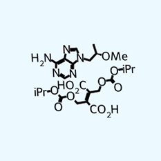 CC(C)OC(=O)OC/C(C(=O)O)=C(/COC(=O)OC(C)C)C(=O)O.CO[C@H](C)Cn1cnc2c(N)ncnc21